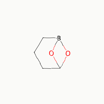 C1CB2OC(C1)O2